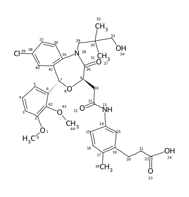 COc1cccc([C@H]2O[C@H](CC(=O)Nc3ccc(C)c(CCC(=O)O)c3)C(=O)N(CC(C)(C)CO)c3ccc(Cl)cc32)c1OC